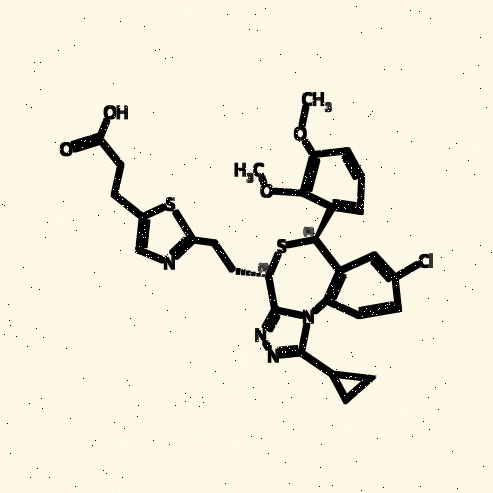 COc1cccc([C@@H]2S[C@@H](CCc3ncc(CCC(=O)O)s3)c3nnc(C4CC4)n3-c3ccc(Cl)cc32)c1OC